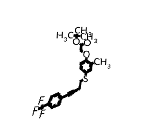 Cc1cc(SCCC#Cc2ccc(C(F)(F)F)cc2)ccc1OCC(=O)OC(C)(C)C